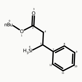 CCCCOC(=O)CC([SiH3])c1ccccc1